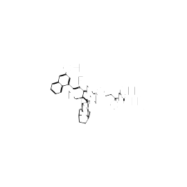 CN(C)C(=O)CCOc1nc(N2CC3CCC(C2)N3)c2cnc(-c3cc(O)cc4ccccc34)c(F)c2n1